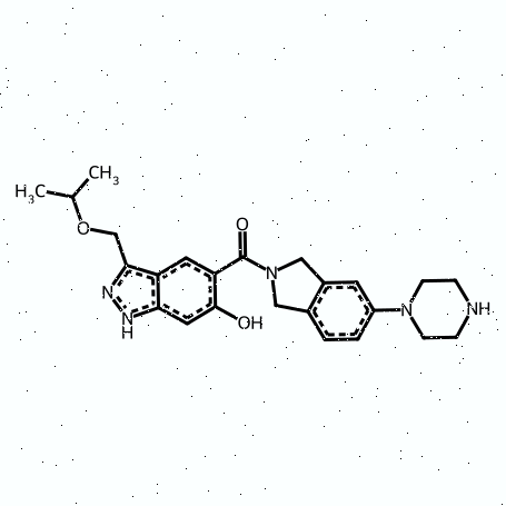 CC(C)OCc1n[nH]c2cc(O)c(C(=O)N3Cc4ccc(N5CCNCC5)cc4C3)cc12